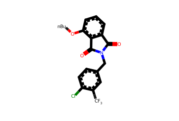 CCCCOc1cccc2c1C(=O)N(Cc1ccc(Cl)c(C(F)(F)F)c1)C2=O